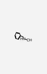 [CH]NCc1ccccc1